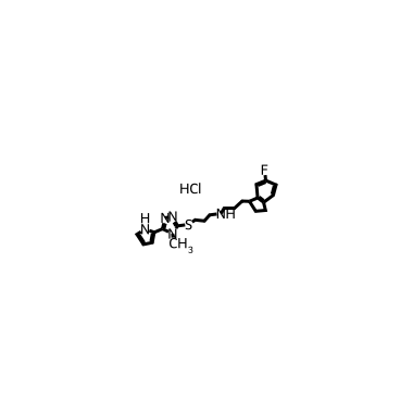 Cl.Cn1c(SCCCNCCCC2CCc3ccc(F)cc32)nnc1-c1ccc[nH]1